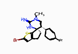 CC(C)C1=CCC([C@H]2CN(C)C(=N)N[C@@]23CCc2cc(Br)sc23)C=C1